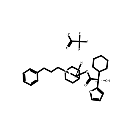 O=C(O[C@H]1C[N+]2(CCCc3ccccc3)CCC1CC2)[C@](O)(c1ccco1)C1CCCCC1.O=C([O-])C(F)(F)F